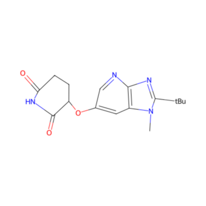 Cn1c(C(C)(C)C)nc2ncc(OC3CCC(=O)NC3=O)cc21